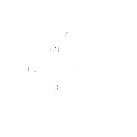 CC(C)(C#N)c1c(F)cccc1F